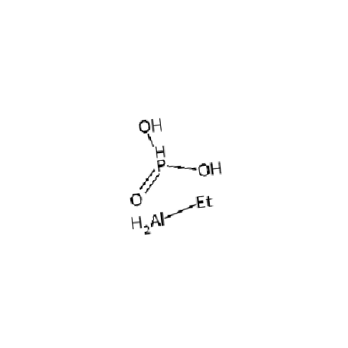 C[CH2][AlH2].O=[PH](O)O